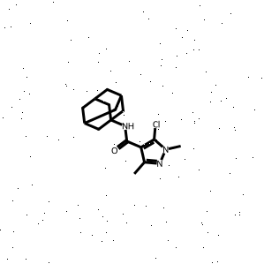 Cc1nn(C)c(Cl)c1C(=O)NC12CC3CC(CC(C3)C1)C2